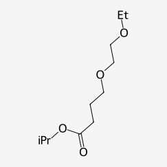 CCOCCOCCCC(=O)OC(C)C